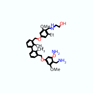 CCc1cc(OCc2cccc(-c3cccc(COc4cc(OC)c(CN)c(ON)c4)c3C)c2C)cc(OC)c1CNCCO